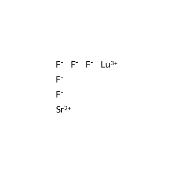 [F-].[F-].[F-].[F-].[F-].[Lu+3].[Sr+2]